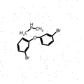 Brc1cccc(Oc2cccc(Br)c2)c1.CPC